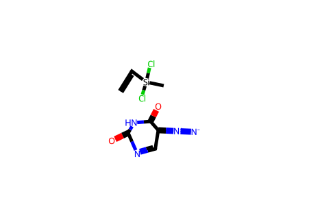 C=C[Si](C)(Cl)Cl.[N-]=[N+]=C1C=NC(=O)NC1=O